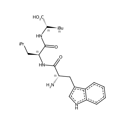 CC[C@H](C)[C@H](NC(=O)[C@H](CC(C)C)NC(=O)[C@@H](N)Cc1c[nH]c2ccccc12)C(=O)O